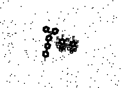 Ic1ccc(-c2ccc(-c3ccc([S+](c4ccccc4)c4ccccc4)cc3)cc2)cc1.O=S(=O)(O)c1c(F)c(F)c(F)c(F)c1F.O=S(=O)([O-])c1c(F)c(F)c(F)c(F)c1F